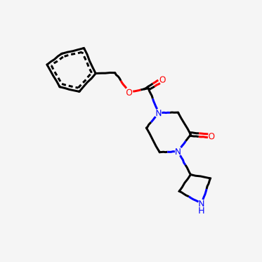 O=C(OCc1ccccc1)N1CCN(C2CNC2)C(=O)C1